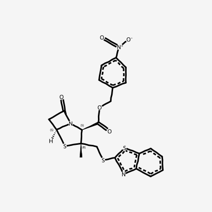 C[C@@]1(CSc2nc3ccccc3s2)S[C@H]2CC(=O)N2[C@H]1C(=O)OCc1ccc([N+](=O)[O-])cc1